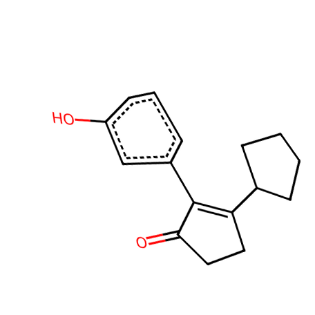 O=C1CCC(C2CCCC2)=C1c1cccc(O)c1